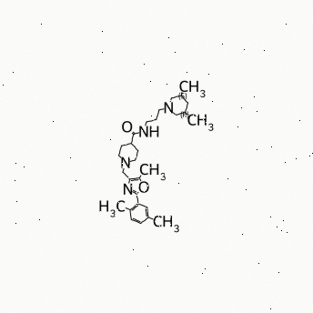 Cc1ccc(C)c(-c2nc(CN3CCC(C(=O)NCCCN4C[C@H](C)C[C@H](C)C4)CC3)c(C)o2)c1